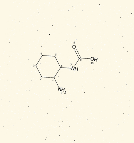 NC1CCCCC1NC(=O)O